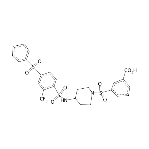 O=C(O)c1cccc(S(=O)(=O)N2CCC(NS(=O)(=O)c3ccc(S(=O)(=O)c4ccccc4)cc3C(F)(F)F)CC2)c1